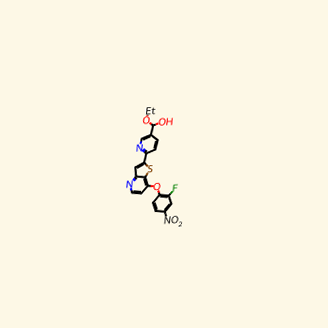 CCOC(O)c1ccc(-c2cc3nccc(Oc4ccc([N+](=O)[O-])cc4F)c3s2)nc1